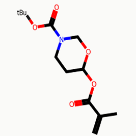 C=C(C)C(=O)OC1CCN(C(=O)OC(C)(C)C)CO1